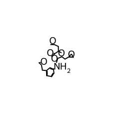 C1OC1CC(OC(CC1CO1)C1CO1)C1CO1.Nc1cccc(CC2CO2)c1